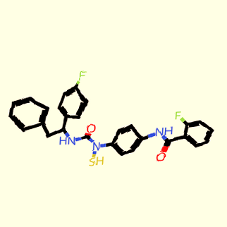 O=C(Nc1ccc(N(S)C(=O)NC(Cc2ccccc2)c2ccc(F)cc2)cc1)c1ccccc1F